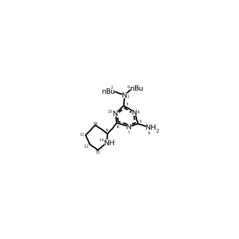 CCCCN(CCCC)c1nc(N)nc(C2CCCCN2)n1